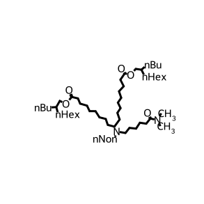 CCCCCCCCCN(CCCCCC(=O)N(C)C)C(CCCCCCCCC(=O)OCC(CCCC)CCCCCC)CCCCCCCCC(=O)OCC(CCCC)CCCCCC